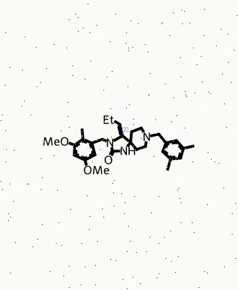 CC/C=C1\N(Cc2cc(OC)cc(OC)c2C)C(=O)NC12CCN(Cc1cc(C)cc(C)c1)CC2